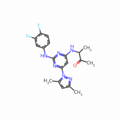 CC(=O)C(C)Nc1cc(-n2nc(C)cc2C)nc(Nc2ccc(F)c(F)c2)n1